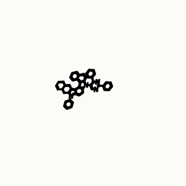 C1=CC2=Cc3c(n(-c4ccccc4)c4ccc5c(c34)c3c4ccccc4ccc3n5-c3cnc(-c4ccccc4)nc3-c3ccccc3)CC2C=C1